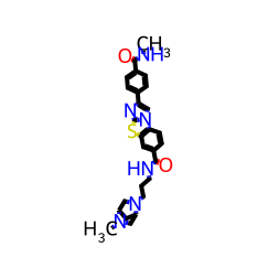 CNC(=O)c1ccc(-c2cn3c(n2)sc2cc(C(=O)NCCCN4CC5CC4CN5C)ccc23)cc1